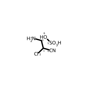 N#CC(Cl)CN.O=S(=O)(O)O